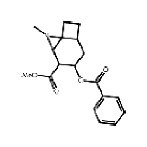 COC(=O)C1C(OC(=O)c2ccccc2)CC2CCC23C1N3C